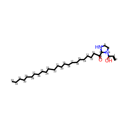 C=CC(O)N1CCNC1C(=O)CCCCCCCCCCCCCCCCCCCCCCC